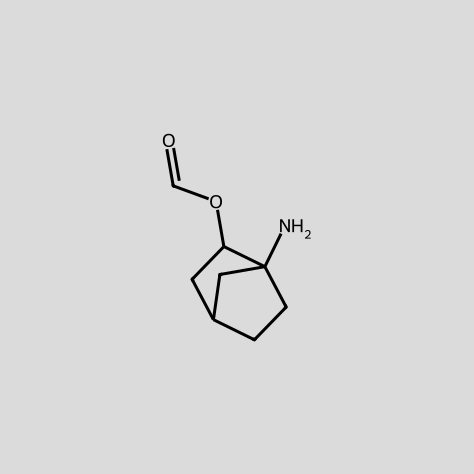 NC12CCC(CC1OC=O)C2